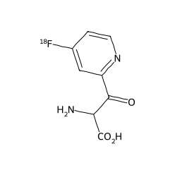 NC(C(=O)O)C(=O)c1cc([18F])ccn1